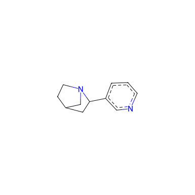 c1cncc(C2CC3CCN2C3)c1